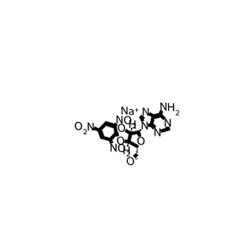 Nc1ncnc2c1ncn2[C@@H]1O[C@H](C[O-])[C@H]2OC3(O[C@H]21)C([N+](=O)[O-])=CC([N+](=O)[O-])=CC3[N+](=O)[O-].[Na+]